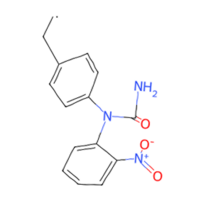 [CH2]Cc1ccc(N(C(N)=O)c2ccccc2[N+](=O)[O-])cc1